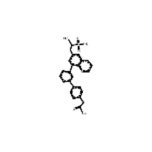 CC(Cc1cc(-c2cccc(-c3ccc(CC(=O)O)cc3)c2)c2ncccc2c1)S(C)(=O)=O